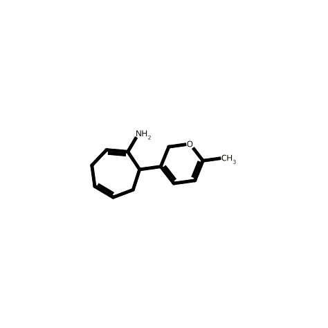 CC1=CC=C(C2CC=CCC=C2N)CO1